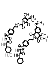 CCC1=C(C)CN(C(=O)NCCc2ccc(S(=O)(=O)NC(=O)NC3CCC(C)CC3)cc2)C1=O.COc1ccc2c(c1)C(=O)N(CCc1ccc(S(=O)(=O)NC(=O)NC3CCCCC3)cc1)C(=O)C2(C)C